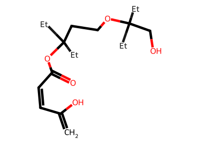 C=C(O)/C=C\C(=O)OC(CC)(CC)CCOC(CC)(CC)CO